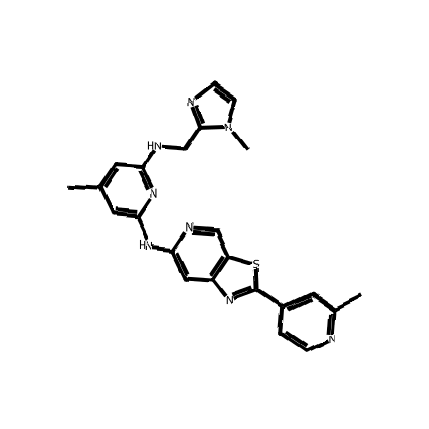 Cc1cc(NCc2nccn2C)nc(Nc2cc3nc(-c4ccnc(C)c4)sc3cn2)c1